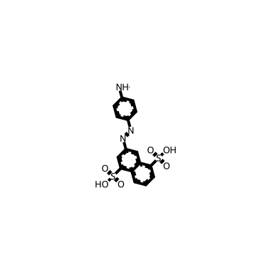 [NH]c1ccc(N=Nc2cc(S(=O)(=O)O)c3cccc(S(=O)(=O)O)c3c2)cc1